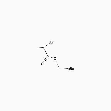 CCCCCOC(=O)C(C)Br